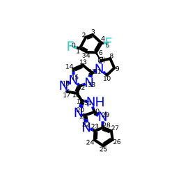 Fc1ccc(F)c([C@H]2CCCN2c2ccn3ncc(-c4nc5nc6ccccc6nc5[nH]4)c3n2)c1